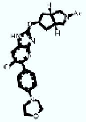 CC(=O)N1C[C@H]2CC(Oc3nc4nc(-c5ccc(N6CCOCC6)cc5)c(Cl)cc4[nH]3)C[C@H]2C1